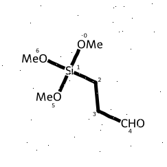 CO[Si](CCC=O)(OC)OC